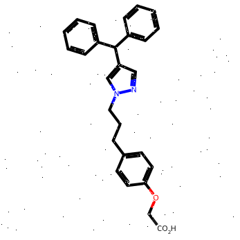 O=C(O)COc1ccc(CCCn2cc(C(c3ccccc3)c3ccccc3)cn2)cc1